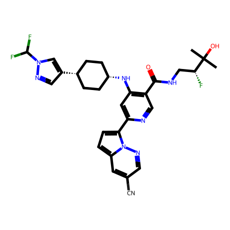 CC(C)(O)[C@H](F)CNC(=O)c1cnc(-c2ccc3cc(C#N)cnn23)cc1N[C@H]1CC[C@@H](c2cnn(C(F)F)c2)CC1